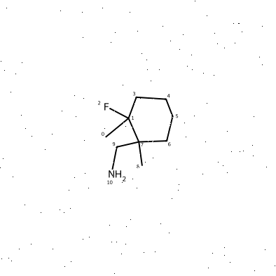 CC1(F)CCCCC1(C)CN